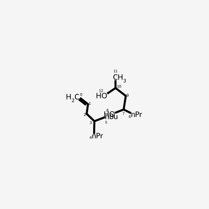 C=CCC(CCC)CCCC.CCCC(O)CC(C)O